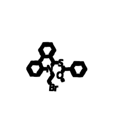 COC(SC1c2ccccc2-c2ccccc2N1CCBr)c1ccccc1